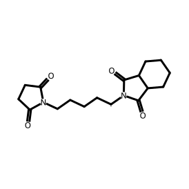 O=C1C2CCCCC2C(=O)N1[CH]CCCCN1C(=O)CCC1=O